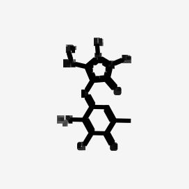 CCn1c(NC(C)C)c(N=C2C=C(C)C(=O)C(Cl)=C2N)c(=O)n1CC